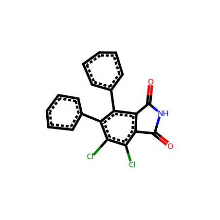 O=C1NC(=O)c2c1c(Cl)c(Cl)c(-c1ccccc1)c2-c1ccccc1